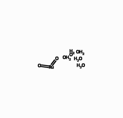 O.O.O.O.O.[O]=[Ru]=[O]